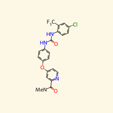 CNC(=O)c1cc(Oc2ccc(NC(=O)Nc3ccc(Cl)cc3C(F)(F)F)cc2)ccn1